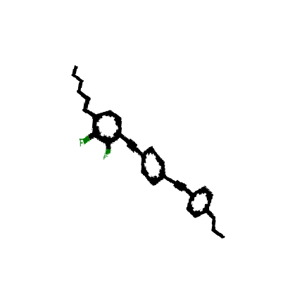 CCCCCCc1ccc(C#Cc2ccc(C#Cc3ccc(CCC)cc3)cc2)c(F)c1F